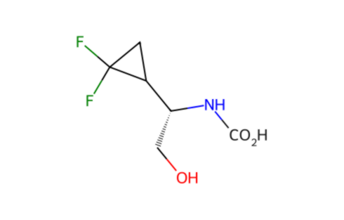 O=C(O)N[C@H](CO)C1CC1(F)F